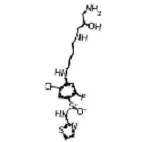 NCC(O)CNCCCCNc1cc(F)c([S+]([O-])Nc2nccs2)cc1Cl